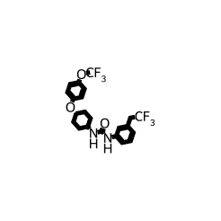 O=C(Nc1cccc(CC(F)(F)F)c1)NC1CCC(Oc2ccc(OC(F)(F)F)cc2)CC1